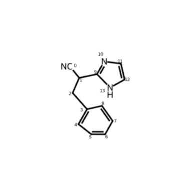 N#CC(Cc1ccccc1)c1ncc[nH]1